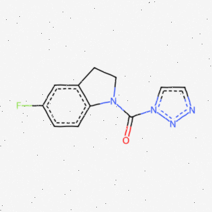 O=C(N1CCc2cc(F)ccc21)n1ccnn1